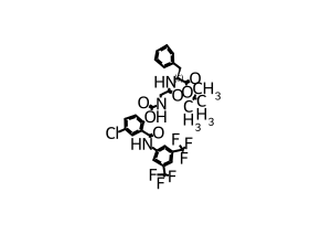 CC(C)(C)OC(=O)[C@H](Cc1ccccc1)NC(=O)CNC(=O)Oc1ccc(Cl)cc1C(=O)Nc1cc(C(F)(F)F)cc(C(F)(F)F)c1